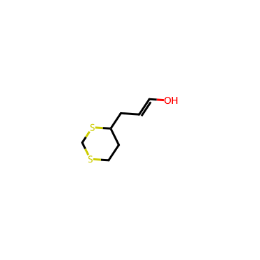 OC=CCC1CCSCS1